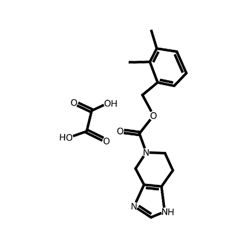 Cc1cccc(COC(=O)N2CCc3[nH]cnc3C2)c1C.O=C(O)C(=O)O